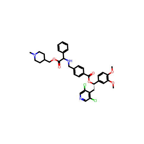 COc1ccc([C@H](Cc2c(Cl)cncc2Cl)OC(=O)c2ccc(CNC(C(=O)OCC3CCN(C)CC3)c3ccccc3)cc2)cc1OC